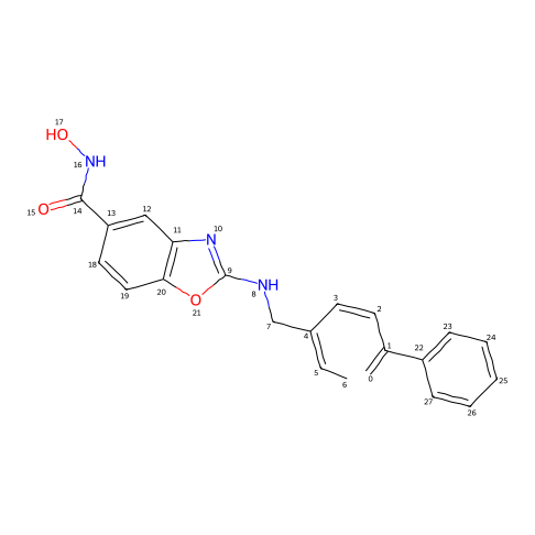 C=C(/C=C\C(=C/C)CNc1nc2cc(C(=O)NO)ccc2o1)c1ccccc1